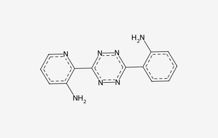 Nc1ccccc1-c1nnc(-c2ncccc2N)nn1